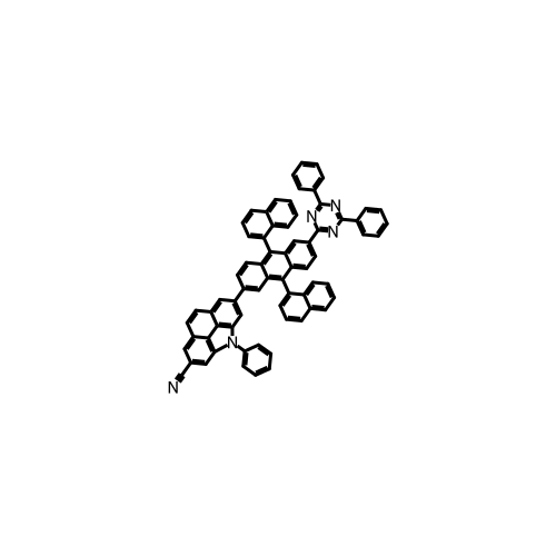 N#Cc1cc2ccc3cc(-c4ccc5c(-c6cccc7ccccc67)c6cc(-c7nc(-c8ccccc8)nc(-c8ccccc8)n7)ccc6c(-c6cccc7ccccc67)c5c4)cc4c3c2c(c1)n4-c1ccccc1